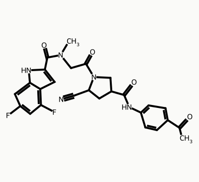 CC(=O)c1ccc(NC(=O)C2CC(C#N)N(C(=O)CN(C)C(=O)c3cc4c(F)cc(F)cc4[nH]3)C2)cc1